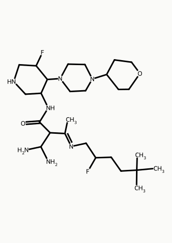 C/C(=N\CC(F)CCC(C)(C)C)C(C(=O)NC1CNCC(F)C1N1CCN(C2CCOCC2)CC1)C(N)N